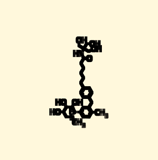 Cc1ccc([C@H]2[C@H](O)[C@H](O)[C@H](O)C[SH]2C)cc1Cc1ccc(CCCCCC(=O)NC(CO)(CO)CO)cc1